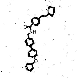 O=C(NCc1ccc(-c2ccc(Oc3ccccc3)cc2)cc1)c1ccc(CCc2ccccn2)cc1